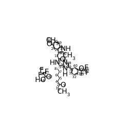 CCC(=O)CCCCC[C@H](NC(=O)Cc1c(C)[nH]c2ccc(OC)cc12)c1ncc(-c2cccc(OC(F)(F)F)c2)[nH]1.O=C(O)C(F)(F)F